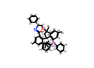 Cc1cc(C2=N[C@@H](c3ccccc3)CO2)c2c(c1)C(C)(C)C[C@@]21CC(C)(C)c2cc(C)cc(P(c3ccccc3)c3ccccc3)c21